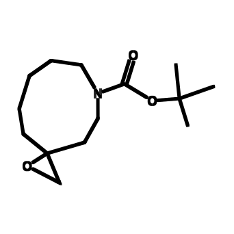 CC(C)(C)OC(=O)N1CCCCCC2(CC1)CO2